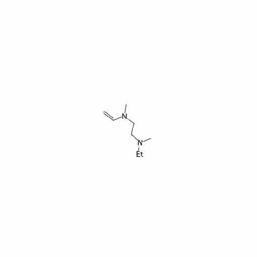 C=CN(C)CCN(C)CC